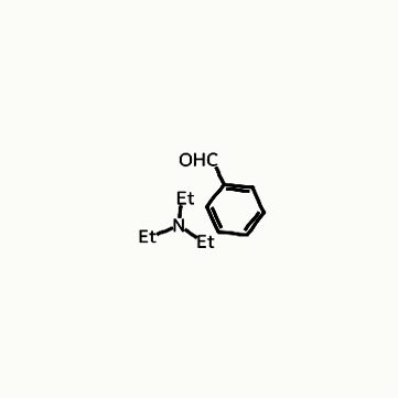 CCN(CC)CC.O=Cc1ccccc1